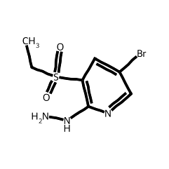 CCS(=O)(=O)c1cc(Br)cnc1NN